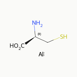 N[C@@H](CS)C(=O)O.[Al]